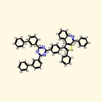 c1ccc(-c2cccc(-c3nc(-c4ccc(-c5c(-c6ccccc6)sc6c(-c7ccccc7)nc7ccccc7c56)cc4)nc(-c4cccc(-c5ccccc5)c4)n3)c2)cc1